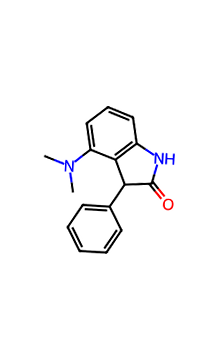 CN(C)c1cccc2c1C(c1ccccc1)C(=O)N2